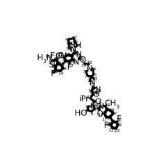 CC(C)[C@@H](C(=O)N1C[C@H](O)C[C@H]1C(=O)N[C@@H](C)c1ccc(-c2c(F)cccc2F)cc1)c1cc(N2CC3(CCN(CCOc4nc(N5CC6CCC(C5)N6)c5cc(C(F)(F)F)c(-c6ccc(F)c7sc(N)c(C#N)c67)c(F)c5n4)CC3)C2)no1